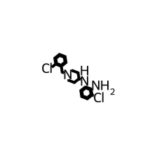 Nc1c(Cl)cccc1NC1CCN(Cc2ccccc2Cl)CC1